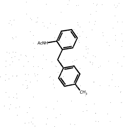 CC(=O)Nc1ccccc1Cc1ccc(C)cc1